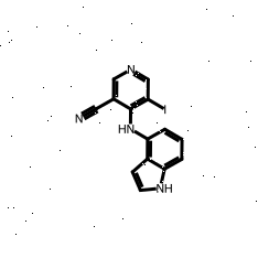 N#Cc1cncc(I)c1Nc1cccc2[nH]ccc12